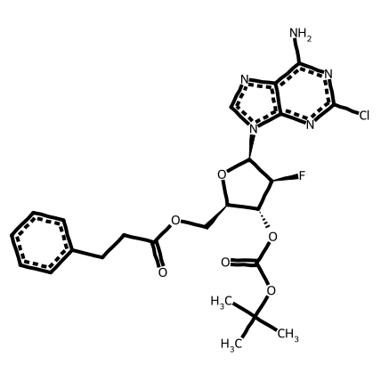 CC(C)(C)OC(=O)O[C@H]1[C@H](F)[C@H](n2cnc3c(N)nc(Cl)nc32)O[C@@H]1COC(=O)CCc1ccccc1